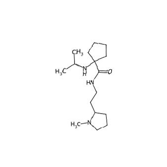 CC(C)NC1(C(=O)NCCC2CCCN2C)CCCC1